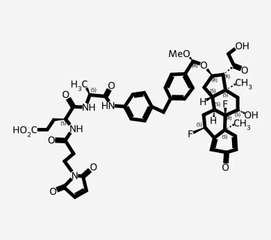 CO[C@H](O[C@@H]1C[C@H]2[C@@H]3C[C@H](F)C4=CC(=O)C=C[C@]4(C)[C@@]3(F)[C@@H](O)C[C@]2(C)[C@H]1C(=O)CO)c1ccc(Cc2ccc(NC(=O)[C@H](C)NC(=O)[C@H](CCC(=O)O)NC(=O)CCN3C(=O)C=CC3=O)cc2)cc1